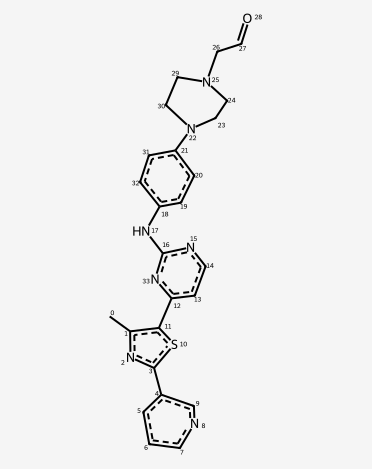 Cc1nc(-c2cccnc2)sc1-c1ccnc(Nc2ccc(N3CCN(CC=O)CC3)cc2)n1